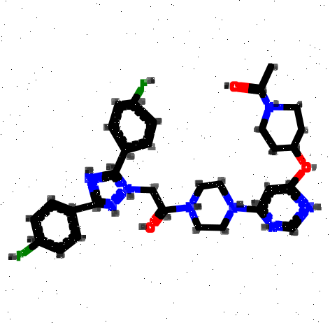 CC(=O)N1CCC(Oc2cc(N3CCN(C(=O)Cn4nc(-c5ccc(F)cc5)nc4-c4ccc(F)cc4)CC3)ncn2)CC1